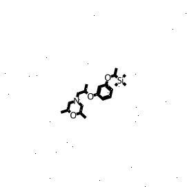 CC(CN1CC(C)OC(C)C1)Oc1cccc(OC(C)[Si](C)(C)C)c1